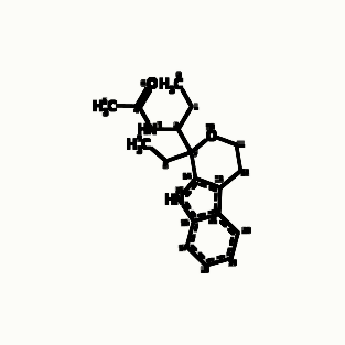 CCC(NC(C)=O)C1(CC)OCCc2c1[nH]c1ccccc21